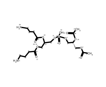 CC(=O)OC[C@H](COP(=O)(O)OCC(COC(=O)CCCN)OC(=O)CCCN)OC(C)=O